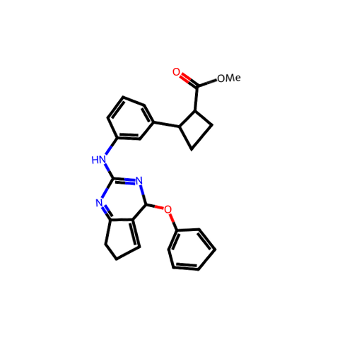 COC(=O)C1CCC1c1cccc(NC2=NC(Oc3ccccc3)C3=CCCC3=N2)c1